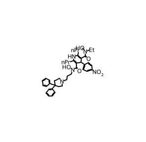 CCCC1=C(C(=O)N(O)CC)C(c2ccc([N+](=O)[O-])cc2)C(C(=O)N(O)CCCN2CCC(c3ccccc3)(c3ccccc3)CC2)=C(CCC)N1